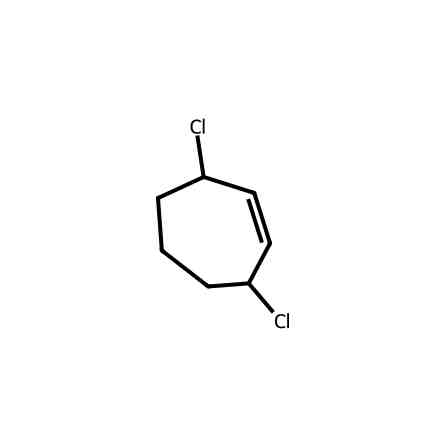 ClC1C=CC(Cl)CCC1